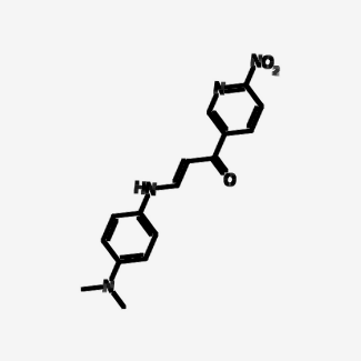 CN(C)c1ccc(N/C=C/C(=O)c2ccc([N+](=O)[O-])nc2)cc1